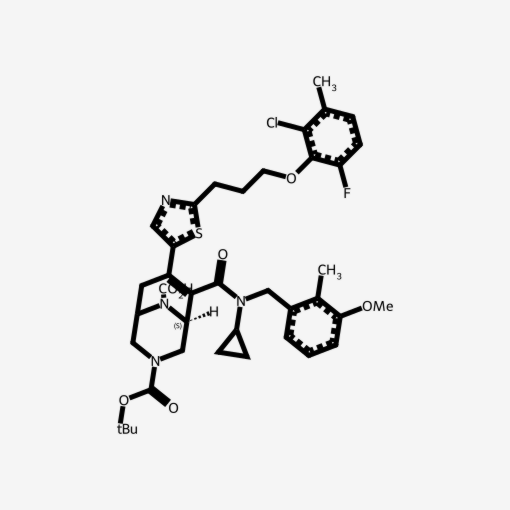 COc1cccc(CN(C(=O)C2=C(c3cnc(CCCOc4c(F)ccc(C)c4Cl)s3)CC3CN(C(=O)OC(C)(C)C)C[C@H]2N3C(=O)O)C2CC2)c1C